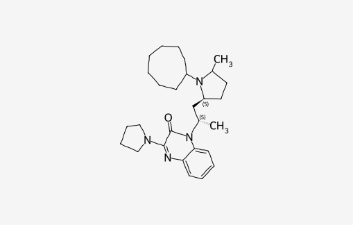 CC1CC[C@@H](C[C@H](C)n2c(=O)c(N3CCCC3)nc3ccccc32)N1C1CCCCCCC1